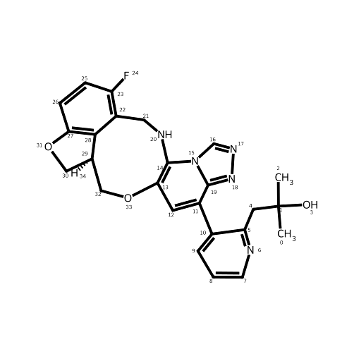 CC(C)(O)Cc1ncccc1-c1cc2c(n3cnnc13)NCc1c(F)ccc3c1[C@H](CO3)CO2